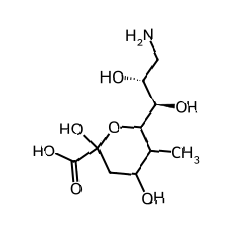 CC1C(O)CC(O)(C(=O)O)OC1[C@H](O)[C@H](O)CN